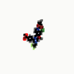 COC(=O)c1ccc(C2CN(CC(F)F)CCN2Cc2c(OC)cc(Cl)c3c2ccn3C(=O)OC(C)(C)C)cc1